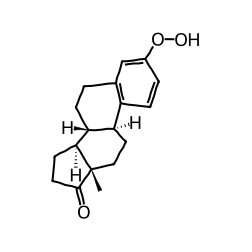 C[C@]12CC[C@@H]3c4ccc(OO)cc4CC[C@H]3[C@@H]1CCC2=O